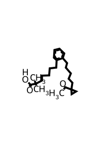 CC(=O)C1(CCCCCc2ccccc2CCCCCC(C)(C)C(=O)O)CC1